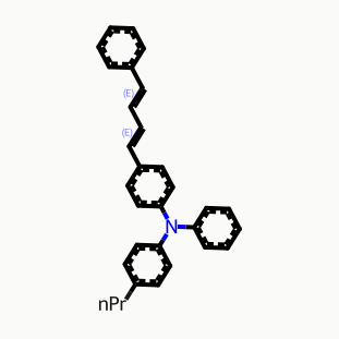 CCCc1ccc(N(c2ccccc2)c2ccc(/C=C/C=C/c3ccccc3)cc2)cc1